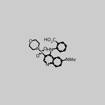 CNc1ccc2ncc(S(=O)(=O)N3CCOCC3)c(Nc3ccccc3C(=O)O)c2c1